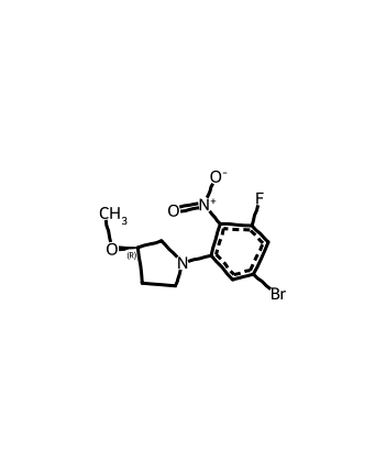 CO[C@@H]1CCN(c2cc(Br)cc(F)c2[N+](=O)[O-])C1